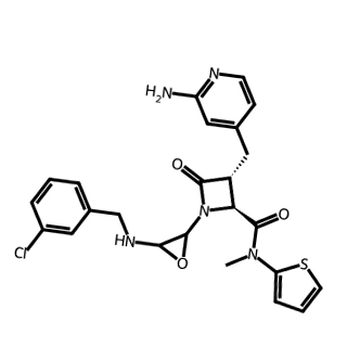 CN(C(=O)[C@@H]1[C@@H](Cc2ccnc(N)c2)C(=O)N1C1OC1NCc1cccc(Cl)c1)c1cccs1